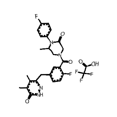 Cc1c(Cc2ccc(F)c(C(=O)N3CC(=O)N(c4ccc(F)cc4)C(C)C3)c2)n[nH]c(=O)c1C.O=C(O)C(F)(F)F